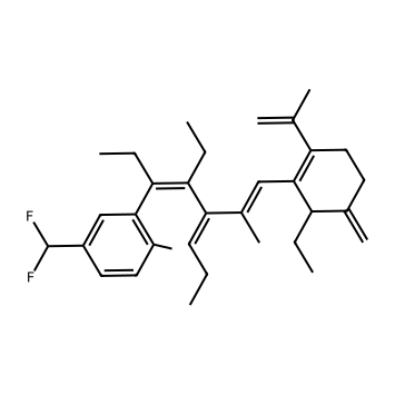 C=C(C)C1=C(/C=C(C)/C(=C\CC)C(/CC)=C(/CC)c2cc(C(F)F)ccc2C)C(CC)C(=C)CC1